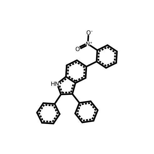 O=[N+]([O-])c1ccccc1-c1ccc2[nH]c(-c3ccccc3)c(-c3ccccc3)c2c1